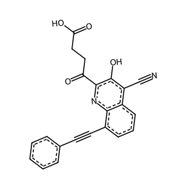 N#Cc1c(O)c(C(=O)CCC(=O)O)nc2c(C#Cc3ccccc3)cccc12